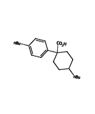 CCCCc1ccc(C2(C(=O)O)CCC(CCCC)CC2)cc1